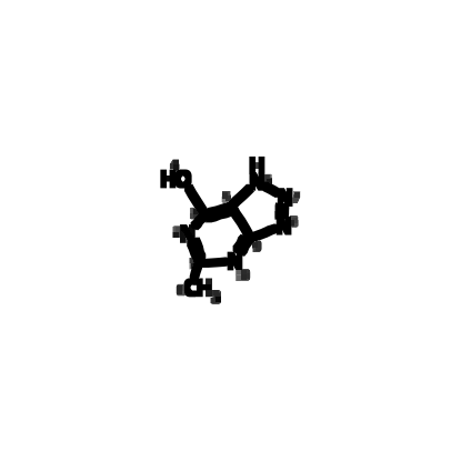 Cc1nc(O)c2[nH]nnc2n1